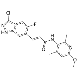 COc1cc(C)c(NC(=O)/C=C/c2cc3[nH]nc(Cl)c3cc2F)c(C)n1